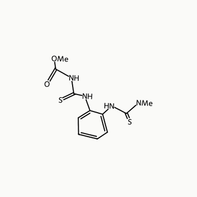 CNC(=S)Nc1ccccc1NC(=S)NC(=O)OC